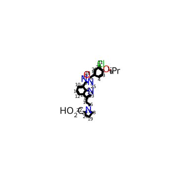 CC(C)Oc1ccc(-c2nc(C3=CC=CC4C(CCN5CCC[C@H]5C(=O)O)=CN(C)C34)no2)cc1Cl